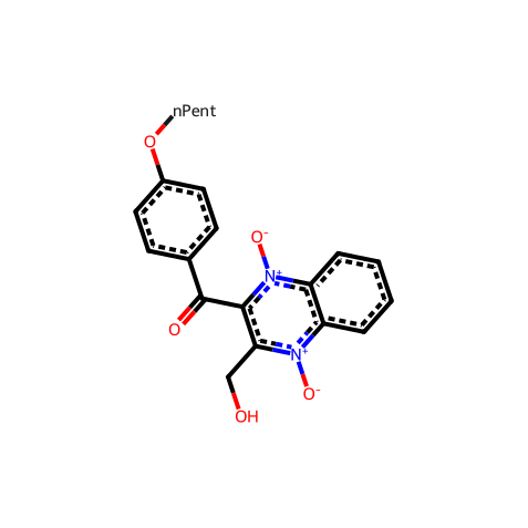 CCCCCOc1ccc(C(=O)c2c(CO)[n+]([O-])c3ccccc3[n+]2[O-])cc1